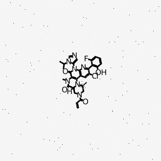 C=CC(=O)N1C[C@@H]2C(=O)N(C)c3c(c4cc(Cl)c(-c5c(O)cccc5F)nc4n(-c4cncn4C(C)C)c3=O)N2[C@@H](C)C1